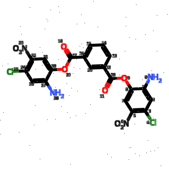 Nc1cc(Cl)c([N+](=O)[O-])cc1OC(=O)c1cccc(C(=O)Oc2cc([N+](=O)[O-])c(Cl)cc2N)c1